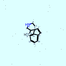 CC1CNCC[C@@]12C=Cc1ccccc12